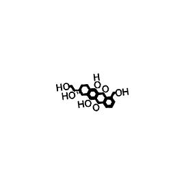 O=C1c2cccc(CO)c2C(=O)c2c(O)c3c(c(O)c21)C[C@@H](C(O)CO)CC3